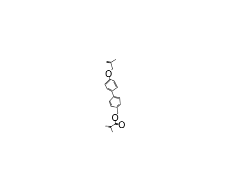 C=C(C)COc1ccc(-c2ccc(COC(=O)C(=C)C)cc2)cc1